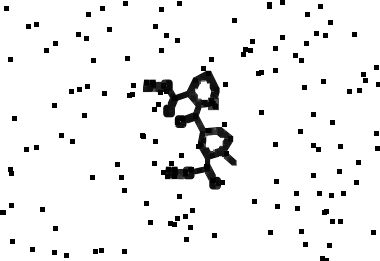 COC(=O)c1cc(C(=O)c2ncccc2C(=O)OC)ccc1C